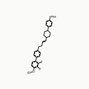 CCCCCCc1ccc(C2CCC(/C=C/CCc3ccc(-c4ccc(OCC)c(F)c4F)cc3)CC2)cc1